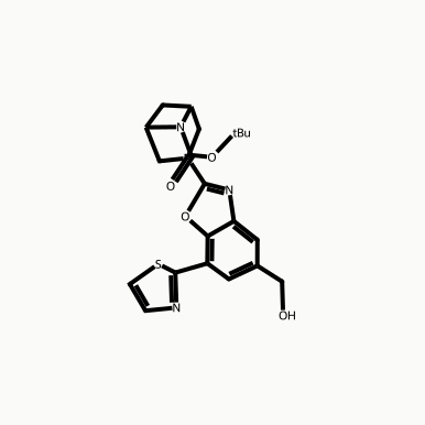 CC(C)(C)OC(=O)N1C2CC1CN(c1nc3cc(CO)cc(-c4nccs4)c3o1)C2